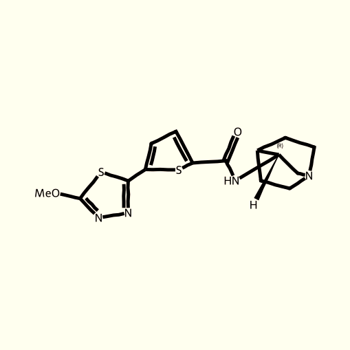 COc1nnc(-c2ccc(C(=O)N[C@H]3CN4CCC3CC4)s2)s1